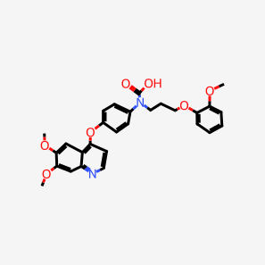 COc1cc2nccc(Oc3ccc(N(CCCOc4ccccc4OC)C(=O)O)cc3)c2cc1OC